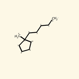 [CH2]CCCCC1(C)CCCC1